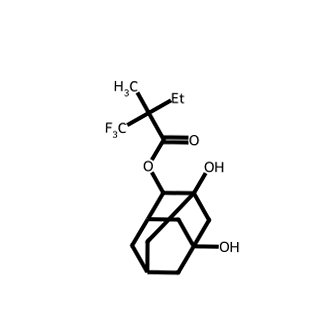 CCC(C)(C(=O)OC1C2CC3CC(O)(C2)CC1(O)C3)C(F)(F)F